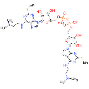 CCCSc1nc(NCCN(C)C)c2ncn([C@@H]3O[C@H](COP(=O)(O)OP(=O)(O)OC[C@H]4O[C@@H](n5cnc6c(NCCN(C)C)nc(SCCC)nc65)[C@H](O)[C@@H]4O)[C@@H](O)[C@H]3O)c2n1